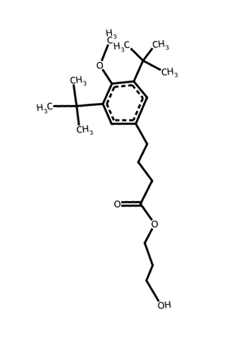 COc1c(C(C)(C)C)cc(CCCC(=O)OCCCO)cc1C(C)(C)C